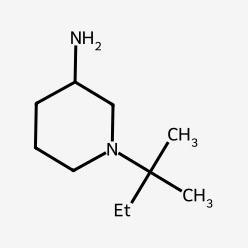 CCC(C)(C)N1CCCC(N)C1